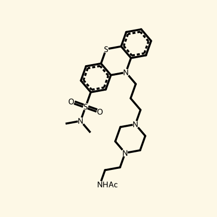 CC(=O)NCCN1CCN(CCCN2c3ccccc3Sc3ccc(S(=O)(=O)N(C)C)cc32)CC1